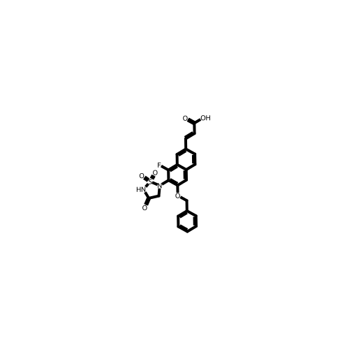 O=C(O)/C=C/c1ccc2cc(OCc3ccccc3)c(N3CC(=O)NS3(=O)=O)c(F)c2c1